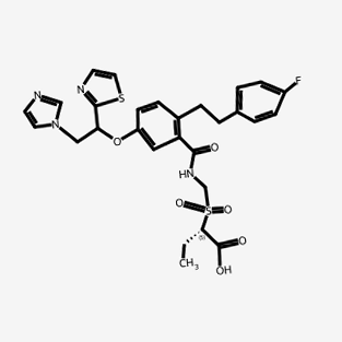 CC[C@@H](C(=O)O)S(=O)(=O)CNC(=O)c1cc(OC(Cn2ccnc2)c2nccs2)ccc1CCc1ccc(F)cc1